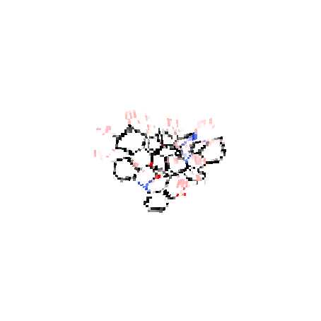 Bc1c(B)c(B)c(C2=CC=CC2(c2c(B)c(B)c(B)c(B)c2B)C2c3ccccc3N3c4cccc5c4C4(/C=C/C(c6c(B)c(B)c(B)c(B)c6B)=C(C)\C=C(/N)n6c7ccccc7c7ccc(c4c76)O5)C23)c(B)c1B